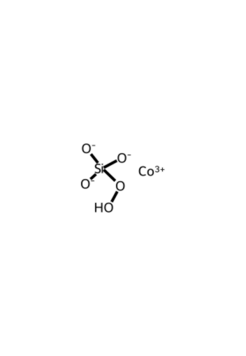 [Co+3].[O-][Si]([O-])([O-])OO